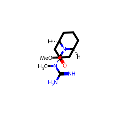 COC(=O)N1[C@@H]2CCC[C@H]1C[C@H](N(C)C(=N)N)C2